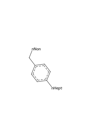 CCCCCC[CH]c1ccc(CCCCCCCCCC)cc1